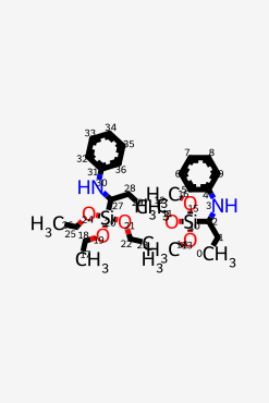 CCC(Nc1ccccc1)[Si](OC)(OC)OC.CCO[Si](OCC)(OCC)C(CC)Nc1ccccc1